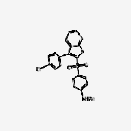 CC(=O)Nc1ccc(S(=O)(=O)c2sc3ncccc3c2-c2ccc(Cl)cc2)cc1